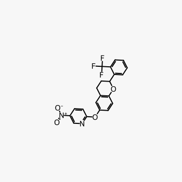 O=[N+]([O-])c1ccc(Oc2ccc3c(c2)CCC(c2ccccc2C(F)(F)F)O3)nc1